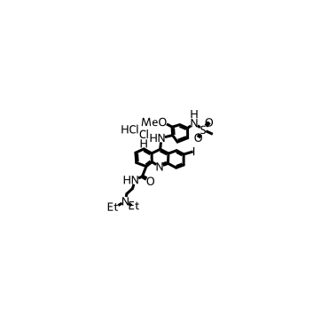 CCN(CC)CCNC(=O)c1cccc2c(Nc3ccc(NS(C)(=O)=O)cc3OC)c3cc(I)ccc3nc12.Cl.Cl